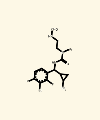 CCc1c(F)ccc(C(NC(=O)N(CCNC=O)C(C)C)C2CC2C(F)(F)F)c1F